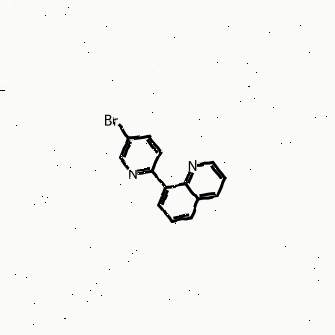 Brc1ccc(-c2cccc3cccnc23)nc1